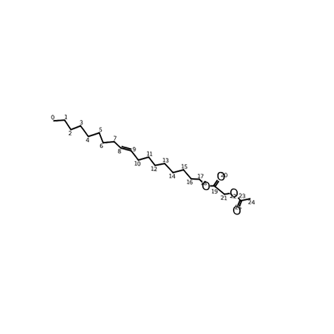 CCCCCCCCC=CCCCCCCCCOC(=O)COC(C)=O